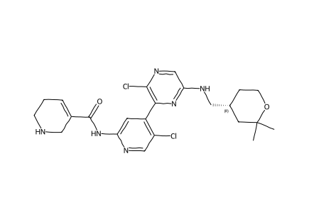 CC1(C)C[C@H](CNc2cnc(Cl)c(-c3cc(NC(=O)C4=CCCNC4)ncc3Cl)n2)CCO1